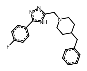 Fc1ccc(-c2nnc(CN3CCC(Cc4ccccc4)CC3)[nH]2)cc1